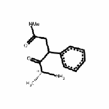 CNC(=O)CC(C(=O)[C@@H](C)N)c1ccccc1